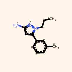 CCCn1nc(N)cc1-c1cccc(C)c1